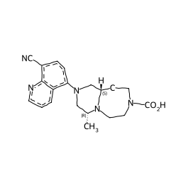 C[C@@H]1CN(c2ccc(C#N)c3ncccc23)C[C@@H]2CCN(C(=O)O)CCN21